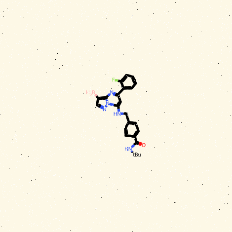 Bc1cnn2c(NCc3ccc(C(=O)NC(C)(C)C)cc3)cc(-c3ccccc3F)nc12